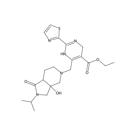 CCOC(=O)C1=C(CN2CCC3C(=O)N(C(C)C)CC3(O)C2)NC(c2nccs2)=NC1